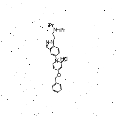 CC(C)N(CCn1ncc2cc(-n3ccc(OCc4ccccc4)cc3=O)ccc21)C(C)C.Cl